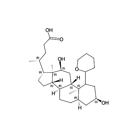 C[C@H](CCC(=O)O)[C@H]1CC[C@H]2[C@@H]3CC[C@@H]4C[C@H](O)CC(C5CCCCO5)[C@]4(C)[C@H]3C[C@H](O)[C@]12C